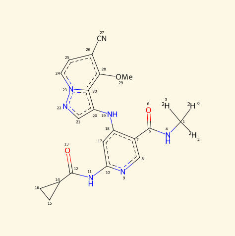 [2H]C([2H])([2H])NC(=O)c1cnc(NC(=O)C2CC2)cc1Nc1cnn2ccc(C#N)c(OC)c12